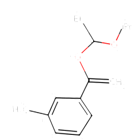 C=C(OC(CC)OC(C)C)c1cccc(C)c1